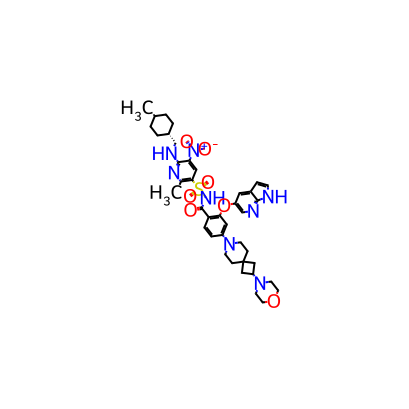 Cc1nc(NC[C@H]2CC[C@@H](C)CC2)c([N+](=O)[O-])cc1S(=O)(=O)NC(=O)c1ccc(N2CCC3(CC2)CC(N2CCOCC2)C3)cc1Oc1cnc2[nH]ccc2c1